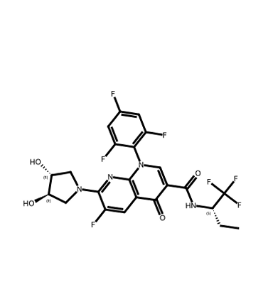 CC[C@H](NC(=O)c1cn(-c2c(F)cc(F)cc2F)c2nc(N3C[C@@H](O)[C@H](O)C3)c(F)cc2c1=O)C(F)(F)F